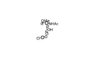 COC(=O)c1ccc(NC(C)=O)c(OCC(O)CN2CCC(Oc3ccc(Cl)cc3)C2)c1